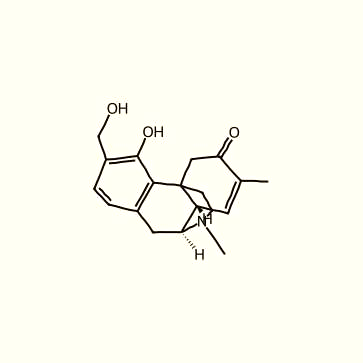 CC1=C[C@@H]2[C@@H]3Cc4ccc(CO)c(O)c4C2(CCN3C)CC1=O